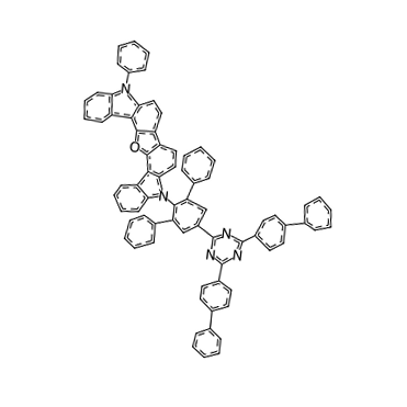 c1ccc(-c2ccc(-c3nc(-c4ccc(-c5ccccc5)cc4)nc(-c4cc(-c5ccccc5)c(-n5c6ccccc6c6c7oc8c(ccc9c8c8ccccc8n9-c8ccccc8)c7ccc65)c(-c5ccccc5)c4)n3)cc2)cc1